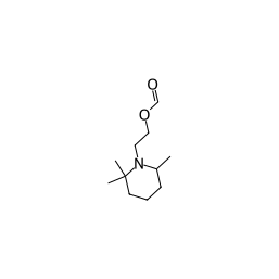 CC1CCCC(C)(C)N1CCOC=O